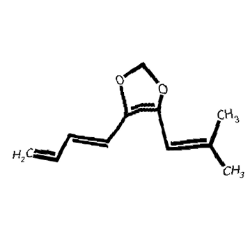 C=C/C=C/C1=C(C=C(C)C)OCO1